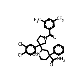 CCN1CCC(C(N)=O)(c2ccccc2)CC1C1(c2ccc(Cl)c(Cl)c2)CCN(C(=O)c2cc(C(F)(F)F)cc(C(F)(F)F)c2)C1